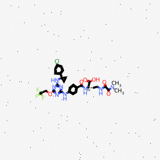 CN(C)C(=O)C(=O)NCC[C@H](NC(=O)c1ccc(Nc2nc(NC3(c4ccc(Cl)cc4)CC3)nc(OCC(F)(F)F)n2)cc1)C(=O)O